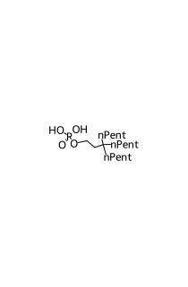 CCCCCC(CCCCC)(CCCCC)CCOP(=O)(O)O